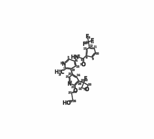 Cc1ncc(NC(=O)c2cccc(C(F)(F)F)c2)cc1-c1cnc(OCCO)c(C2(F)COC2)c1